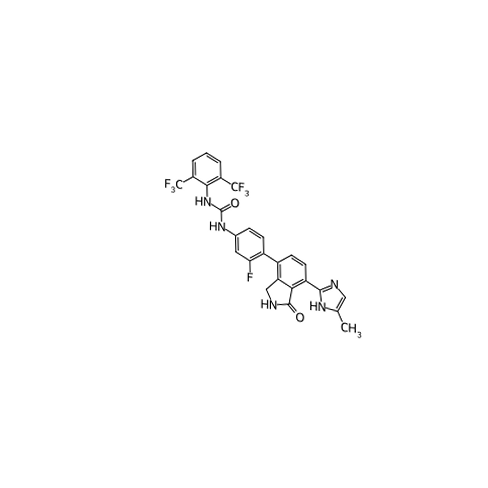 Cc1cnc(-c2ccc(-c3ccc(NC(=O)Nc4c(C(F)(F)F)cccc4C(F)(F)F)cc3F)c3c2C(=O)NC3)[nH]1